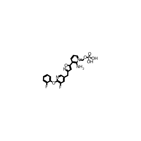 Nc1c(-c2cc(Cc3cnc(Oc4ccccc4F)c(F)c3)no2)ccc[n+]1COP(=O)(O)O